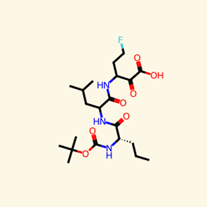 CCC[C@H](NC(=O)OC(C)(C)C)C(=O)NC(CC(C)C)C(=O)NC(CCF)C(=O)C(=O)O